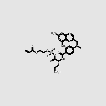 C=CC(=O)OCCO[Si](CC)(CC)OC(=O)[C@@H](CCC(=O)O)NC(=O)c1ccc(N(C)Cc2cnc3nc(N)nc(N)c3n2)cc1